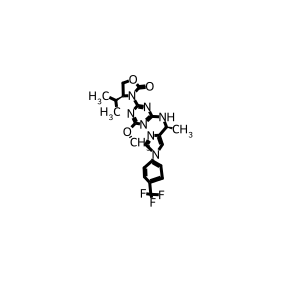 COc1nc(N[C@@H](C)c2cn(-c3ccc(C(F)(F)F)cc3)cn2)nc(N2C(=O)OC[C@@H]2C(C)C)n1